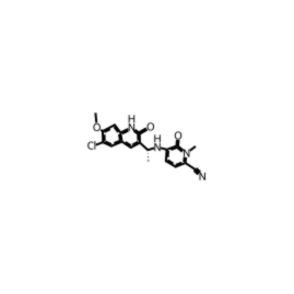 COc1cc2[nH]c(=O)c([C@@H](C)Nc3ccc(C#N)n(C)c3=O)cc2cc1Cl